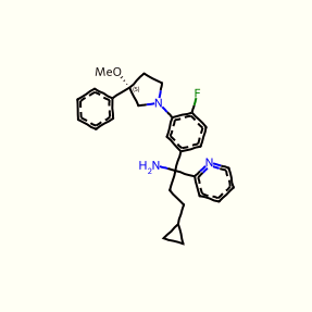 CO[C@]1(c2ccccc2)CCN(c2cc(C(N)(CCC3CC3)c3ccccn3)ccc2F)C1